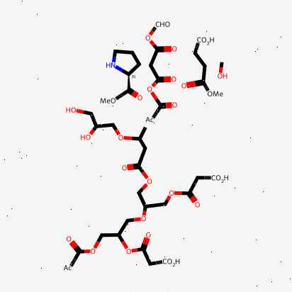 CC(=O)C(=O)OC(=O)CC(=O)OC=O.CC(=O)C(=O)OCC(COC(COC(=O)CC(=O)O)COC(=O)CC(C)OCC(O)CO)OC(=O)CC(=O)O.CO.COC(=O)CCC(=O)O.COC(=O)[C@@H]1CCCN1